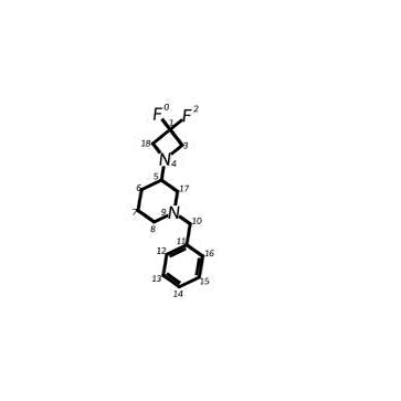 FC1(F)CN(C2CCCN(Cc3ccccc3)C2)C1